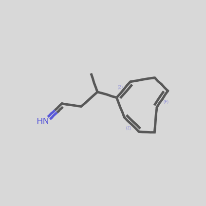 CC(CC=N)C1=C/C/C=C/C/C=C\1